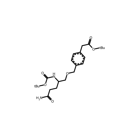 CC(C)(C)OC(=O)Cc1ccc(COCC(CCC(N)=O)NC(=O)OC(C)(C)C)cc1